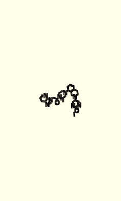 CCOc1ncc(N2CCc3cccc(N4CCN(C(=O)Cn5cnc6cccnc65)[C@H](C)C4)c3C2)cn1